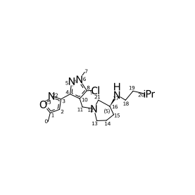 Cc1cc(-c2nn(C)c(Cl)c2CN2CCC[C@H](NCCC(C)C)C2)no1